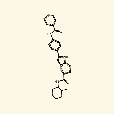 CC1CCCCC1NC(=O)c1ccc2[nH]c(-c3ccc(NC(=O)c4cccnc4)cc3)cc2c1